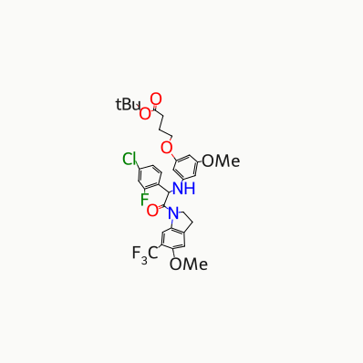 COc1cc(NC(C(=O)N2CCc3cc(OC)c(C(F)(F)F)cc32)c2ccc(Cl)cc2F)cc(OCCCC(=O)OC(C)(C)C)c1